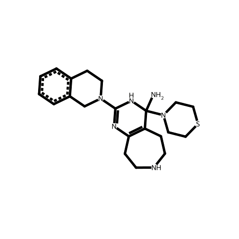 NC1(N2CCSCC2)NC(N2CCc3ccccc3C2)=NC2=C1CCNCC2